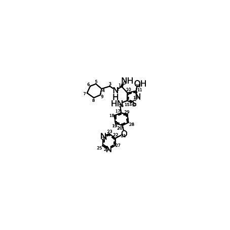 N=C(NCC1CCCCC1)c1c(O)nsc1Nc1ccc(Oc2cncnc2)cc1